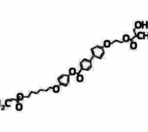 C=CC(=O)OCCCCCCOc1ccc(OC(=O)c2ccc(-c3ccc(OCCCOC(=O)C(=C)CO)cc3)cc2)cc1